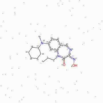 CCCn1c(=O)/c(=N\O)ncc2ccc(N(C)C3CCCCC3)cc21